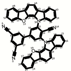 N#Cc1cc(C#N)cc(-c2cc(-n3c4ccccc4c4ccc5c6ccccc6oc5c43)c(C#N)c(-n3c4ccccc4c4ccc5c6ccccc6oc5c43)c2)c1